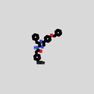 COc1ccc(CC(=O)Nc2ncc(-c3ccc(OCc4ccccc4)cc3)nc2Cc2ccccc2)cc1